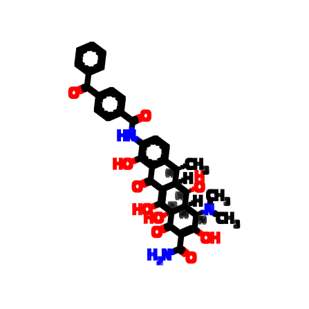 C[C@H]1c2ccc(NC(=O)c3ccc(C(=O)c4ccccc4)cc3)c(O)c2C(=O)C2=C(O)[C@]3(O)C(=O)C(C(N)=O)=C(O)[C@@H](N(C)C)[C@@H]3[C@@H](O)[C@@H]21